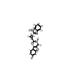 C[C@H](c1cc2ccc(F)cc2o1)N(C)C(=O)C1C[C@@H]1c1nc2ccccc2[nH]1